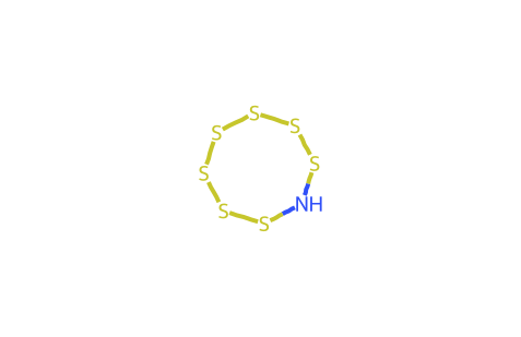 N1SSSSSSS1